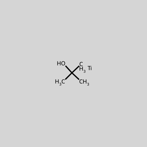 CC(C)(C)O.[Ti]